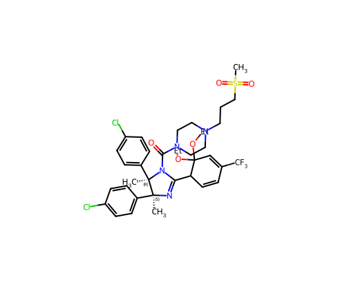 CCOC1(OCC)C=C(C(F)(F)F)C=CC1C1=N[C@@](C)(c2ccc(Cl)cc2)[C@@](C)(c2ccc(Cl)cc2)N1C(=O)N1CCN(CCCS(C)(=O)=O)CC1